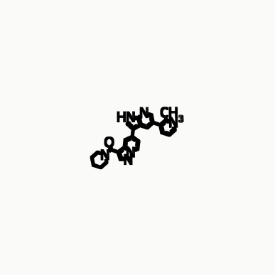 Cc1ncccc1-c1cnc2[nH]cc(-c3ccn4ncc(C(=O)N5CCCCC5)c4c3)c2c1